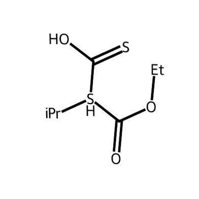 CCOC(=O)[SH](C(O)=S)C(C)C